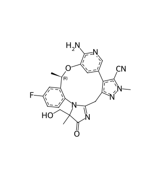 C[C@H]1Oc2cc(cnc2N)-c2c(nn(C)c2C#N)CC2=NC(=O)C(C)(CO)N2c2ccc(F)cc21